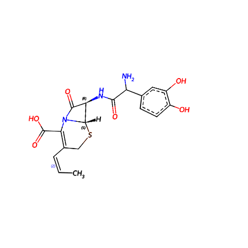 C/C=C\C1=C(C(=O)O)N2C(=O)[C@@H](NC(=O)C(N)c3ccc(O)c(O)c3)[C@@H]2SC1